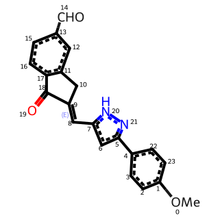 COc1ccc(-c2cc(/C=C3\Cc4cc(C=O)ccc4C3=O)[nH]n2)cc1